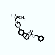 C=C(C)CN1CCN(c2ccc3c(c2)[C@H]2CC3CCN2C(=O)OCc2ccccc2)CC1